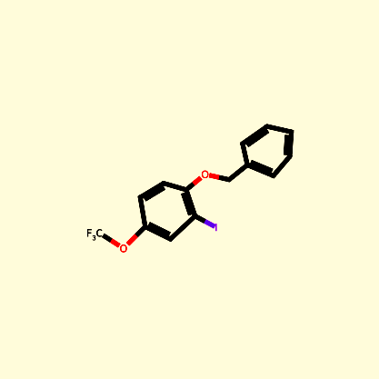 FC(F)(F)Oc1ccc(OCc2ccccc2)c(I)c1